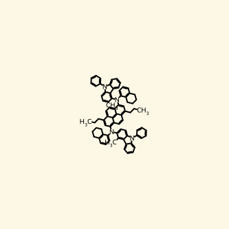 CCCc1cc(N(c2cccc3c2CCCC3)c2ccc3c(c2C)c2ccccc2n3-c2ccccc2)c2ccc3c(CCC)cc(N(c4cccc5c4CCCC5)c4c(C)ccc5c4c4ccccc4n5-c4ccccc4)c4ccc1c2c34